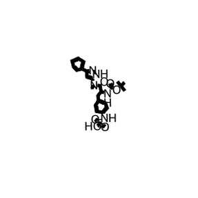 CN(C(=O)C(Cc1ccc(NS(=O)(=O)O)cc1)NC(=O)OC(C)(C)C)c1cc(-c2ccccc2)n[nH]1